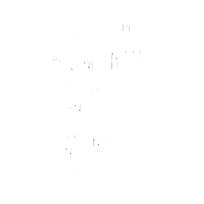 CC[C@H](C)C(NC(=O)[C@H](CC(C)C)NC(=O)O)C(=O)C(=O)NCC(=O)NC(Cc1ccccc1)C(N)=O